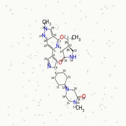 C[C@@H](Oc1nc(C2=CC([C@H]3CC[C@H](N4CCN(C)C(=O)C4)CC3)N=C2)cc2nn(C)cc12)[C@H]1CNC(=O)C1